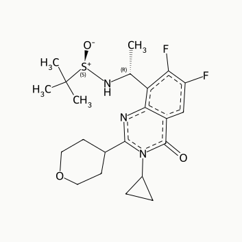 C[C@@H](N[S@+]([O-])C(C)(C)C)c1c(F)c(F)cc2c(=O)n(C3CC3)c(C3CCOCC3)nc12